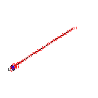 CCC(=O)N(N1C(=O)C=CC1=O)C(O)(COCCOCCOCCOCCOCCOCCOCCOCCOCCOCCOCCOCCOCCOCCOCCOCCOCCOCCOCCOCCOCCOCCOCCO)N1C(=O)CCC1=O